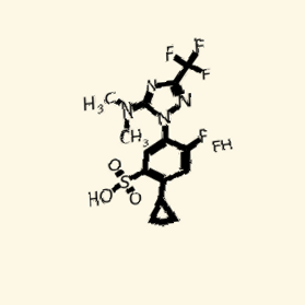 CN(C)c1nc(C(F)(F)F)nn1-c1cc(S(=O)(=O)O)c(C2CC2)cc1F.F